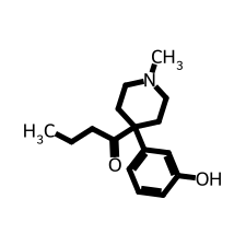 CCCC(=O)C1(c2cccc(O)c2)CCN(C)CC1